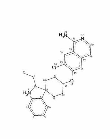 CCC(N)C1(c2ccccc2)CCC(Oc2cc3ccnc(N)c3cc2Cl)CC1